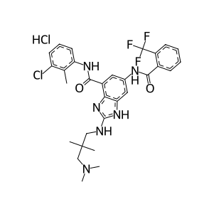 Cc1c(Cl)cccc1NC(=O)c1cc(NC(=O)c2ccccc2C(F)(F)F)cc2[nH]c(NCC(C)(C)CN(C)C)nc12.Cl